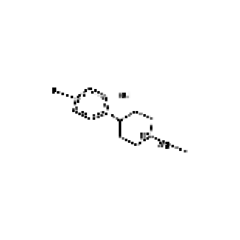 Cl.[CH3][Mg][SiH]1CCC(c2ccc(F)cc2)CC1